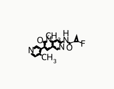 Cc1ccncc1-c1cc2cnc(NC(=O)[C@H]3C[C@H]3F)cc2n(C)c1=O